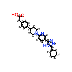 O=C(O)Cc1ccc(C2CCN(c3ccc(-c4nnc(C5CCCCC5)[nH]4)cn3)CC2)cc1